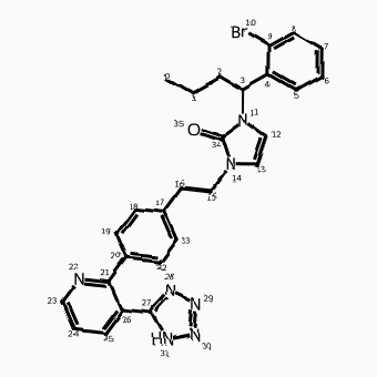 CCCC(c1ccccc1Br)n1ccn(CCc2ccc(-c3ncccc3-c3nnn[nH]3)cc2)c1=O